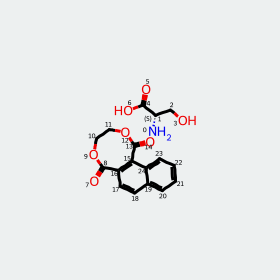 N[C@@H](CO)C(=O)O.O=C1OCCOC(=O)c2c1ccc1ccccc21